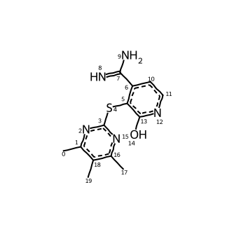 Cc1nc(Sc2c(C(=N)N)ccnc2O)nc(C)c1C